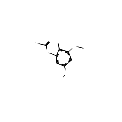 COc1cc(NC(N)=S)c(F)c(OC)c1